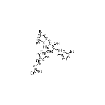 CCc1cccc(CNC[C@@H](O)[C@H](Cc2cc(F)cc(F)c2)NC(=O)c2ccc(OCCN(CC)CC)cc2)c1